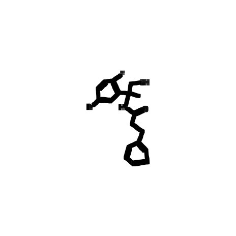 CC(CO)(NC(=O)CCc1ccccc1)c1cc(Br)ccc1F